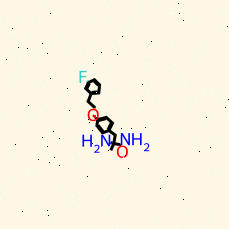 CC(N)(Cc1ccc(OCCc2cccc(F)c2)cc1)C(N)=O